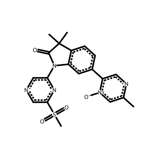 Cc1c[n+]([O-])c(-c2ccc3c(c2)N(c2cncc(S(C)(=O)=O)n2)C(=O)C3(C)C)cn1